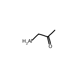 CC(=O)[CH2][AlH2]